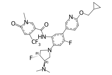 CN(C)[C@@H]1CN(c2cc(F)c(-c3ccc(OCC4CC4)nc3)cc2NC(=O)c2cn(C)c(=O)cc2C(F)(F)F)C[C@H]1F